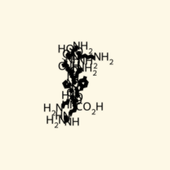 Cc1ccc(C[C@H](NC(=O)[C@@H]2CCCN2C(=O)/C(CCCN)=N/C(=O)CNC(=O)[C@H](C)NC(=O)[C@@H](NC(=O)[C@@H](N)CCCCN)[C@@H](O)CN)C(=O)N[C@@H](CCCCN)C(=O)N/C(=C\CCNC(=N)N)C(=O)O)cc1